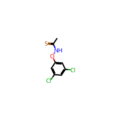 CC(=S)NOc1cc(Cl)cc(Cl)c1